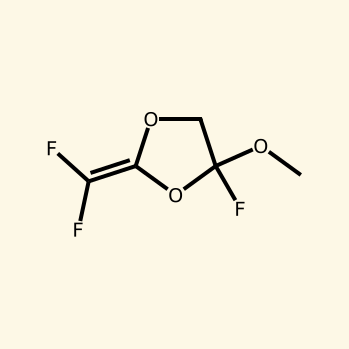 COC1(F)COC(=C(F)F)O1